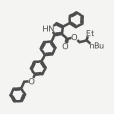 CCCCC(CC)COC(=O)c1c(-c2ccccc2)c[nH]c1-c1ccc(-c2ccc(OCc3ccccc3)cc2)cc1